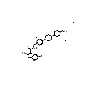 CCc1nc2ccc(F)cn2c1C(=O)NCc1ccc(N2CCC(c3ccc(C)cc3)CC2)cc1